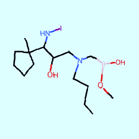 CCCCN(CB(O)OC)CC(O)C(NI)C1(C)CCCC1